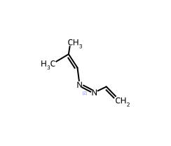 C=C/N=N\C=C(C)C